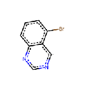 Brc1cccc2ncn[c]c12